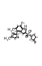 Cc1cc(F)c2[nH]c(S(=O)(=O)N3CC[C@@H](F)C3)cc2c1-c1ncn(C)n1